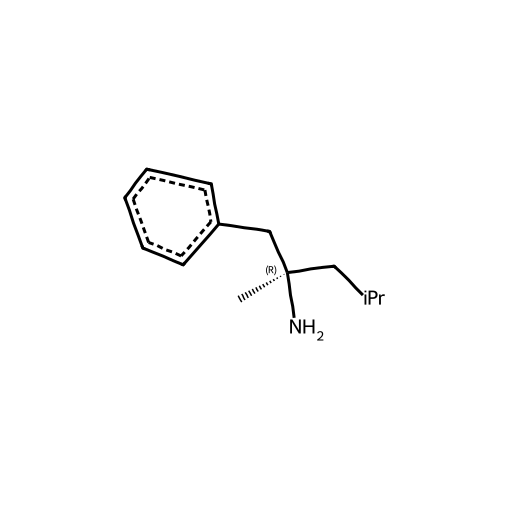 CC(C)C[C@@](C)(N)Cc1ccccc1